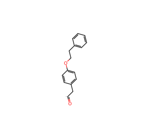 O=[C]Cc1ccc(OCCc2ccccc2)cc1